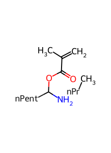 C=C(C)C(=O)OC(N)CCCCC.CCCC